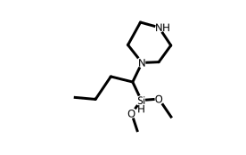 CCCC(N1CCNCC1)[SiH](OC)OC